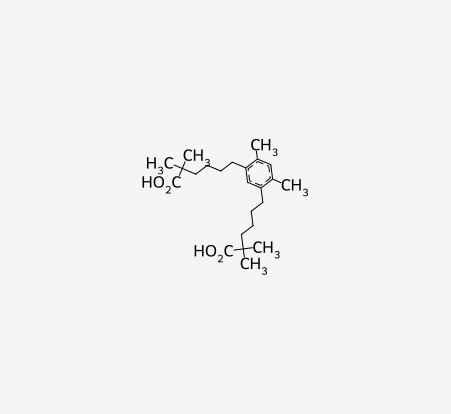 Cc1cc(C)c(CCCCC(C)(C)C(=O)O)cc1CCCCC(C)(C)C(=O)O